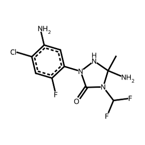 CC1(N)NN(c2cc(N)c(Cl)cc2F)C(=O)N1C(F)F